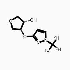 [2H]C([2H])([2H])n1ccc(O[C@H]2COC[C@@H]2O)n1